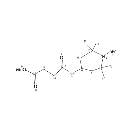 CCCN1C(C)(C)CC(OC(=O)CCC(=O)OC)CC1(C)C